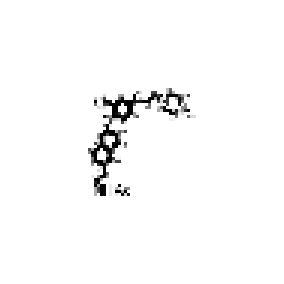 CC(=O)NCCc1ccc2cc(Oc3ccc(OCCN4CCN(C)CC4)cc3Cl)ccc2c1